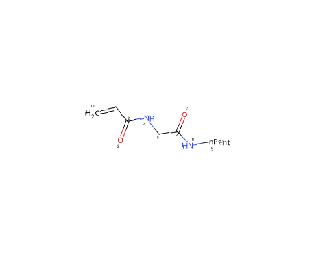 C=CC(=O)NCC(=O)NCCCCC